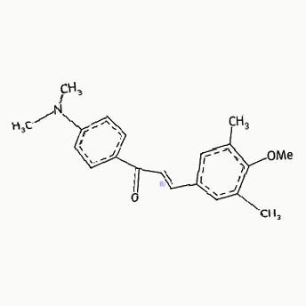 COc1c(C)cc(/C=C/C(=O)c2ccc(N(C)C)cc2)cc1C